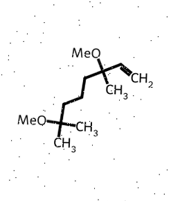 C=CC(C)(CCCC(C)(C)OC)OC